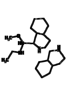 C1CCC2CNCCC2C1.CCN[SiH](OC)C1NCCC2CCCCC21